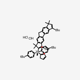 Cl.Cl.[CH2]=[Zr]([C]1=CC=CC1)([C]1=C(C(C)(C)C)c2cc3c(cc2C1(C)C)Cc1cc2c(cc1-3)C(C(C)(C)C)=CC2(C)C)([c]1ccc(C(C)(C)C)cc1)[c]1ccc(C(C)(C)C)cc1